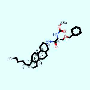 CC(C)CCC[C@@H](C)[C@H]1CC[C@H]2[C@@H]3CCC4C[C@H](NC(=O)[C@H](COCc5ccccc5)NC(=O)OC(C)(C)C)CC[C@]4(C)[C@H]3CC[C@]12C